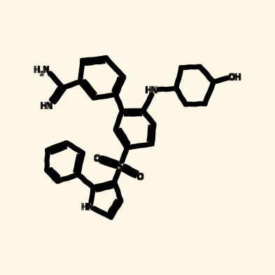 N=C(N)c1cccc(-c2cc(S(=O)(=O)c3cc[nH]c3-c3ccccc3)ccc2NC2CCC(O)CC2)c1